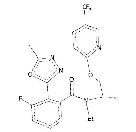 CCN(C(=O)c1cccc(F)c1-c1nnc(C)o1)[C@@H](C)COc1ccc(C(F)(F)F)cn1